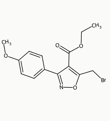 CCOC(=O)c1c(-c2ccc(OC)cc2)noc1CBr